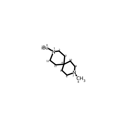 CCC(C)N1CCC2(CCN(C)CC2)CC1